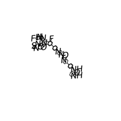 O=C1NCCCC1Nc1ccc(C2CCN(CC(=O)N3CCN(c4ccc(-c5cc(F)c6c(c5)C(=O)N(C(C(=O)Nc5nccs5)c5ncn7c5C[C@@H](F)C7)C6)cc4)CC3)CC2)cc1